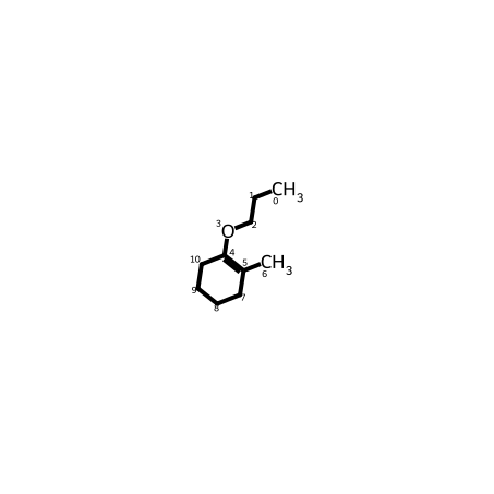 CCCOC1=C(C)CCCC1